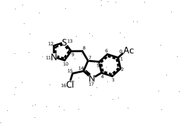 CC(=O)c1ccc2c(c1)C(Cc1cncs1)C(CCl)=N2